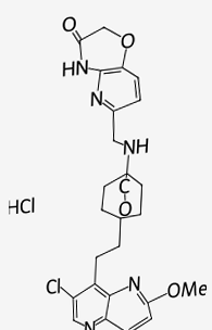 COc1ccc2ncc(Cl)c(CCC34CCC(NCc5ccc6c(n5)NC(=O)CO6)(CC3)CO4)c2n1.Cl